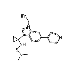 CC(C)Cn1cc(C2(NSN(C)C)CC2)c2ccc(-c3ccncc3)cc21